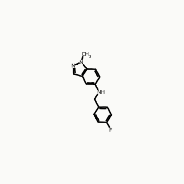 Cn1ncc2cc(NCc3ccc(F)cc3)ccc21